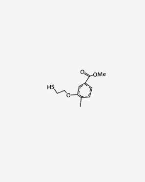 COC(=O)c1ccc(I)c(OCCS)c1